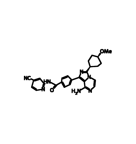 CO[C@H]1CC[C@@H](c2nc(-c3ccc(C(=O)Nc4cc(C#N)ccn4)cc3)c3c(N)nccn32)CC1